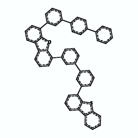 c1ccc(-c2ccc(-c3cccc(-c4cccc5c4oc4c(-c6cccc(-c7cccc(-c8cccc9c8sc8ccccc89)c7)c6)cccc45)c3)cc2)cc1